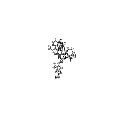 [2H]C([2H])(F)Oc1c(F)ccc2cccc(-c3ncc4c(N5CCCC[C@H]6[C@H](F)[C@H]65)nc(OCC5CN6CC(=CF)CC6C56CC6)nc4c3F)c12